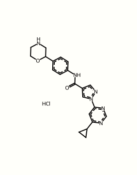 Cl.O=C(Nc1ccc(C2CNCCO2)cc1)c1cnn(-c2cc(C3CC3)ncn2)c1